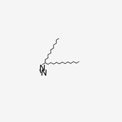 CCCCCCCCCCCCC(CCCCCCCCCC)Cn1ccnc1